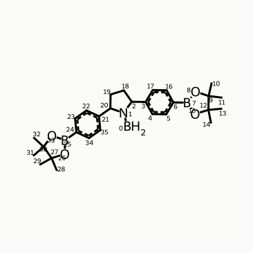 BN1C(c2ccc(B3OC(C)(C)C(C)(C)O3)cc2)CCC1c1ccc(B2OC(C)(C)C(C)(C)O2)cc1